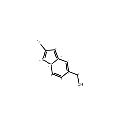 OCc1ccn2nc(F)cc2c1